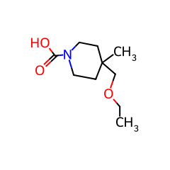 CCOCC1(C)CCN(C(=O)O)CC1